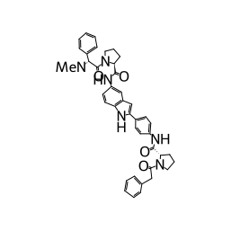 CN[C@@H](C(=O)N1CCC[C@H]1C(=O)Nc1ccc2[nH]c(-c3ccc(NC(=O)[C@@H]4CCCN4C(=O)Cc4ccccc4)cc3)cc2c1)c1ccccc1